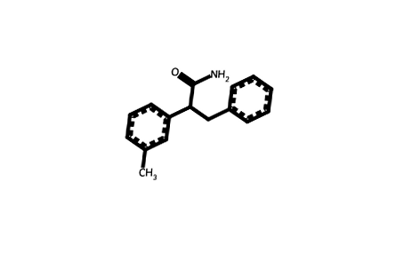 Cc1cccc(C(Cc2ccccc2)C(N)=O)c1